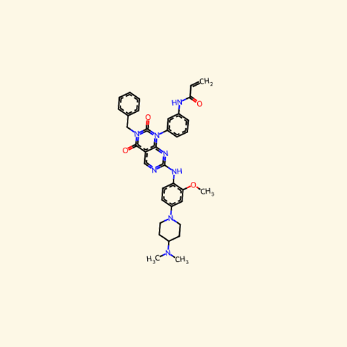 C=CC(=O)Nc1cccc(-n2c(=O)n(Cc3ccccc3)c(=O)c3cnc(Nc4ccc(N5CCC(N(C)C)CC5)cc4OC)nc32)c1